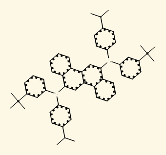 CC(C)c1ccc(N(c2cccc(C(C)(C)C)c2)c2cc3c4ccccc4c(N(c4ccc(C(C)C)cc4)c4cccc(C(C)(C)C)c4)cc3c3ccccc23)cc1